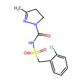 CC1=NN(C(=O)NS(=O)(=O)Cc2ccccc2Cl)CC1